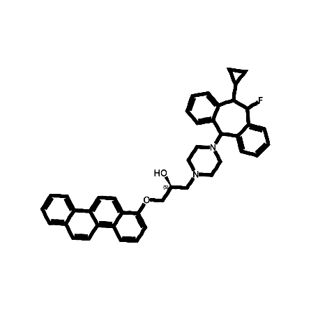 O[C@H](COc1cccc2c1ccc1c3ccccc3ccc21)CN1CCN(C2c3ccccc3C(F)C(C3CC3)c3ccccc32)CC1